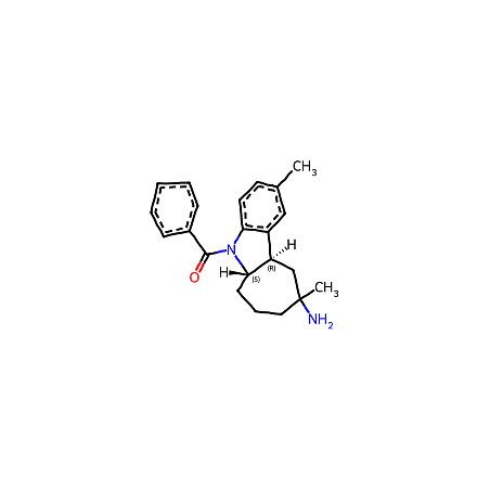 Cc1ccc2c(c1)[C@H]1CC(C)(N)CCC[C@@H]1N2C(=O)c1ccccc1